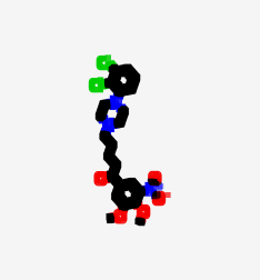 COc1cc(C(=O)CCCCN2CCN(c3cccc(Cl)c3Cl)CC2)cc([N+](=O)[O-])c1OC